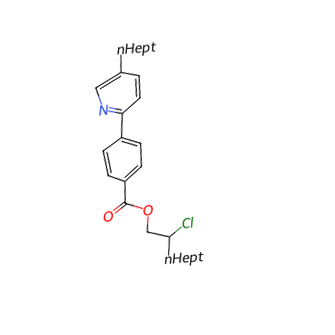 CCCCCCCc1ccc(-c2ccc(C(=O)OCC(Cl)CCCCCCC)cc2)nc1